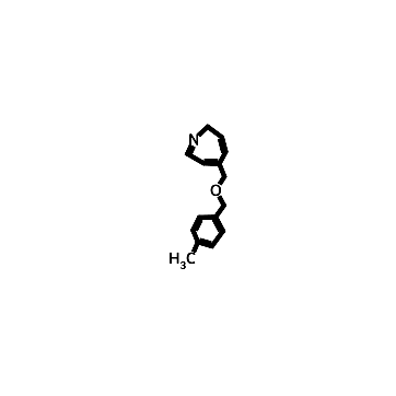 Cc1ccc(COCC2=CC=NCC=C2)cc1